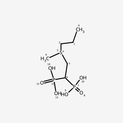 CCC[S+](C)CC(P(=O)(O)O)P(=O)(O)O